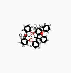 CC(c1ccccc1Oc1ccccc1[N+](=O)[O-])(c1ccccc1Oc1ccccc1[N+](=O)[O-])c1ccccc1Oc1ccccc1[N+](=O)[O-]